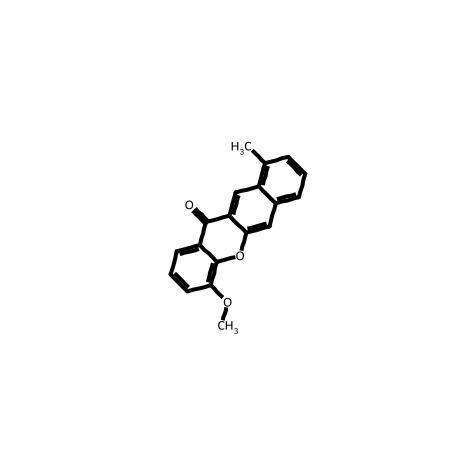 COc1cccc2c(=O)c3cc4c(C)cccc4cc3oc12